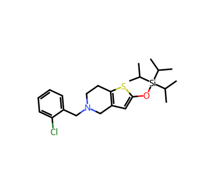 CC(C)[Si](Oc1cc2c(s1)CCN(Cc1ccccc1Cl)C2)(C(C)C)C(C)C